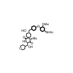 CCCCN1C(=O)[C@@H]([C@H](O)C2CCOCC2)NC(=O)C12CCN(Cc1ccc(Oc3ccc(NC(C)=O)cc3OC)cc1)CC2.Cl